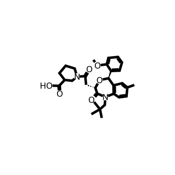 COc1ccccc1[C@@H]1O[C@@H](CC(=O)N2CCCC(C(=O)O)C2)C(=O)N(CC(C)(C)C)c2ccc(C)cc21